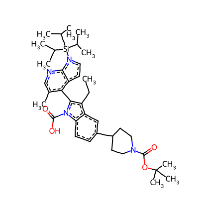 CCc1c(-c2c(C)cnc3c2ccn3[Si](C(C)C)(C(C)C)C(C)C)n(C(=O)O)c2ccc(C3CCN(C(=O)OC(C)(C)C)CC3)cc12